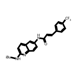 CCC(C)Nc1ccc2cc(NC(=O)C=Cc3ccc(C(F)(F)F)cc3)ccc2n1